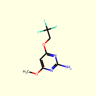 COc1cc(OCC(F)(F)F)nc(N)n1